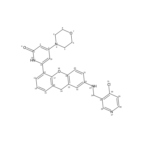 O=c1cc(N2CCOCC2)cc(-c2cccc3c2Oc2ccc(NCc4cnccc4Cl)cc2C3)[nH]1